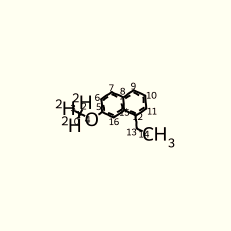 [2H]C([2H])([2H])Oc1ccc2cccc(CC)c2c1